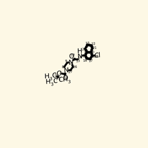 CC(C)(C)OC(=O)N1CCN(C(=O)CNc2ccc(Cl)c3ccccc23)CC1